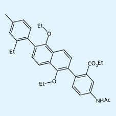 CCOC(=O)c1cc(NC(C)=O)ccc1-c1ccc2c(OCC)c(-c3ccc(C)cc3CC)ccc2c1OCC